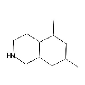 CC1CC(C)C2CCNCC2C1